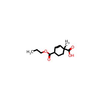 CCCOC(=O)C1C=CC(C)(C(=O)O)CC1